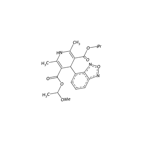 COC(C)OC(=O)C1=C(C)NC(C)=C(C(=O)OC(C)C)C1c1cccc2nonc12